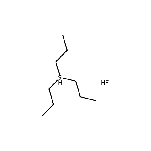 CCC[SiH](CCC)CCC.F